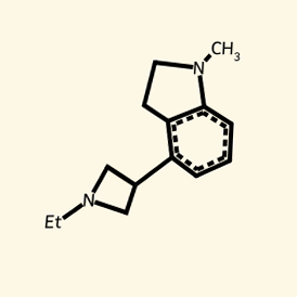 CCN1CC(c2cccc3c2CCN3C)C1